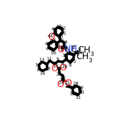 CC(C)(C)c1ccc(CCC(CC2CCCCC2)OC(=O)CCC(=O)OCc2ccccc2)cc1NC(=O)CC1c2ccccc2Oc2ccccc21